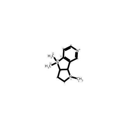 CN1CCC2C1c1cnccc1[Si]2(C)C